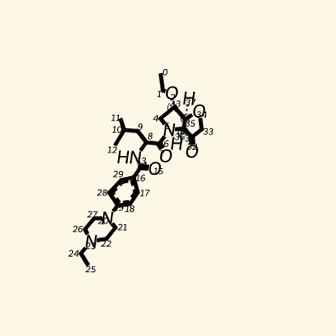 CCO[C@H]1CN(C(=O)C(CC(C)C)NC(=O)c2ccc(N3CCN(CC)CC3)cc2)[C@@H]2C(=O)CO[C@H]12